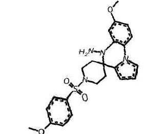 COc1ccc(S(=O)(=O)N2CCC3(CC2)c2cccn2-c2ccc(OC)cc2N3N)cc1